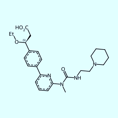 CCO[C@@H](CC(=O)O)c1ccc(-c2cccc(N(C)C(=O)NCCN3CCCCC3)n2)cc1